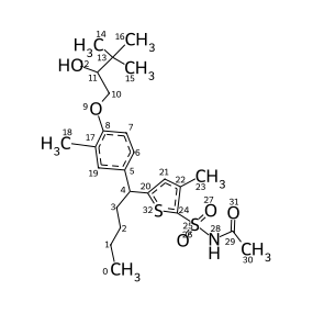 CCCCC(c1ccc(OCC(O)C(C)(C)C)c(C)c1)c1cc(C)c(S(=O)(=O)NC(C)=O)s1